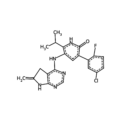 C=C1Cc2c(ncnc2Nc2cc(-c3cc(Cl)ccc3F)c(=O)[nH]c2C(C)C)N1